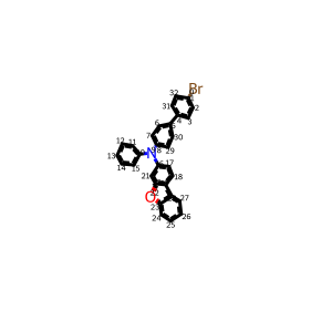 Brc1ccc(-c2ccc(N(c3ccccc3)c3ccc4c(c3)oc3ccccc34)cc2)cc1